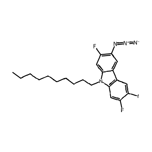 CCCCCCCCCCn1c2cc(F)c(I)cc2c2cc(N=[N+]=[N-])c(F)cc21